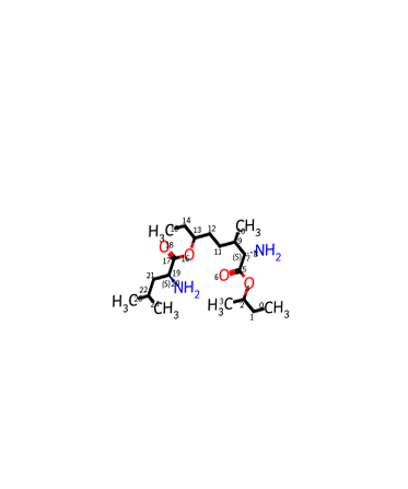 CCC(C)OC(=O)[C@@H](N)C(C)CCC(CC)OC(=O)[C@@H](N)CC(C)C